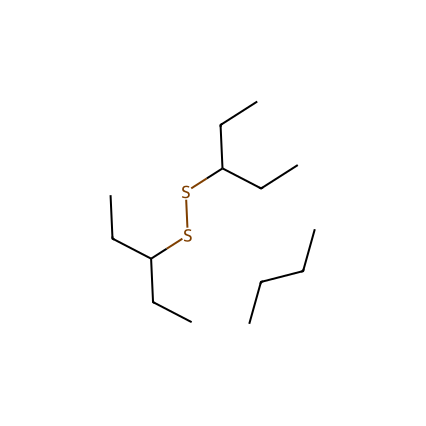 CCC(CC)SSC(CC)CC.CCCC